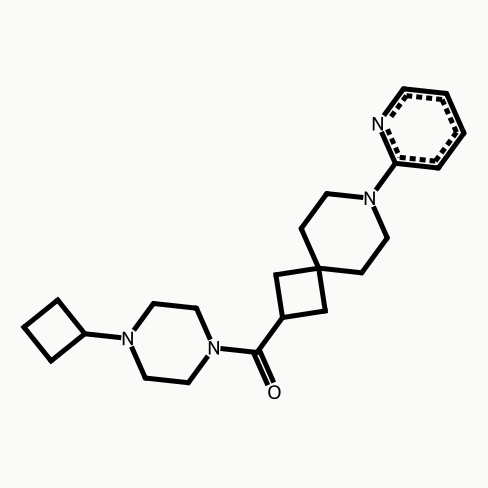 O=C(C1CC2(CCN(c3ccccn3)CC2)C1)N1CCN(C2CCC2)CC1